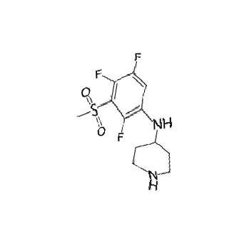 CS(=O)(=O)c1c(F)c(F)cc(NC2CCNCC2)c1F